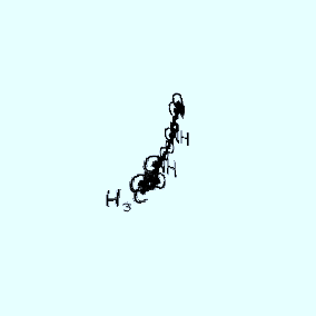 CC1=CC(=O)N(CCC(=O)NCCOCCOCCC(=O)Nc2ccc(CCC(=O)N3CCC3=O)cc2)C1=O